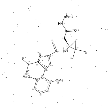 CCCCCNC(=O)C[C@@]1(NC(=O)c2cc(-c3c(OC)cccc3OC)n(C(C)C(C)C)n2)CC1(C)C